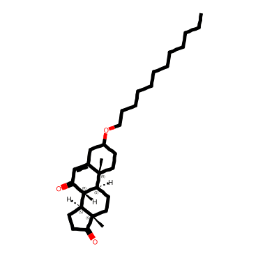 CCCCCCCCCCCCOC1CC[C@@]2(C)C(=CC(=O)[C@@H]3[C@@H]2CC[C@]2(C)C(=O)CC[C@@H]32)C1